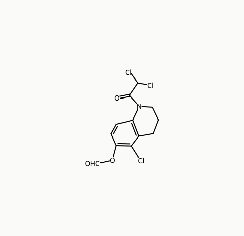 O=COc1ccc2c(c1Cl)CCCN2C(=O)C(Cl)Cl